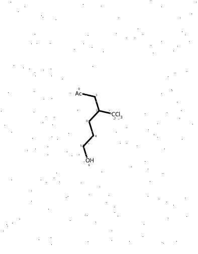 CC(=O)CC(CCCO)C(Cl)(Cl)Cl